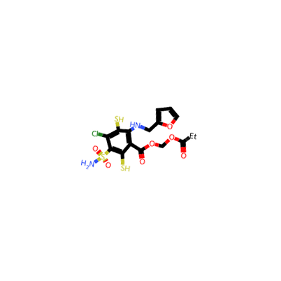 CCC(=O)OCOC(=O)c1c(S)c(S(N)(=O)=O)c(Cl)c(S)c1NCc1ccco1